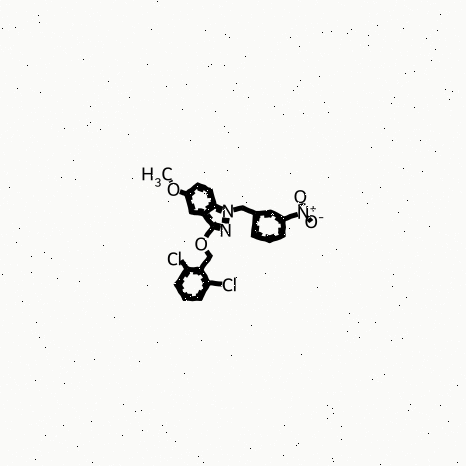 COc1ccc2c(c1)c(OCc1c(Cl)cccc1Cl)nn2Cc1cccc([N+](=O)[O-])c1